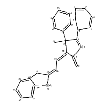 C=C1N=C(C2C=CC=CC2)C(C)(c2ccccc2)/C1=C/C=C1\Cc2ccccc2N1